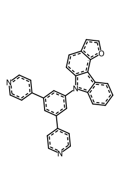 c1ccc2c(c1)c1c3occc3ccc1n2-c1cc(-c2ccncc2)cc(-c2ccncc2)c1